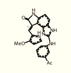 COc1cc[nH]c1/C=C1/C(=O)Nc2ccc3[nH]c(Nc4cccc(C(C)=O)c4)nc3c21